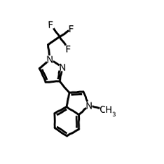 Cn1cc(-c2ccn(CC(F)(F)F)n2)c2ccccc21